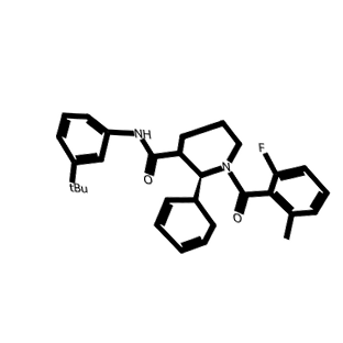 Cc1cccc(F)c1C(=O)N1CCCC(C(=O)Nc2cccc(C(C)(C)C)c2)[C@@H]1C1C=CC=CC1